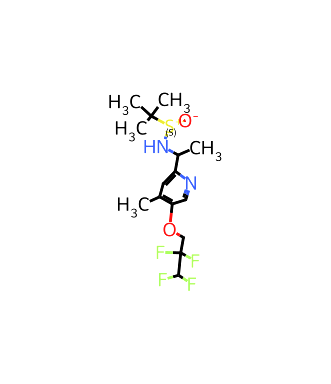 Cc1cc(C(C)N[S@+]([O-])C(C)(C)C)ncc1OCC(F)(F)C(F)F